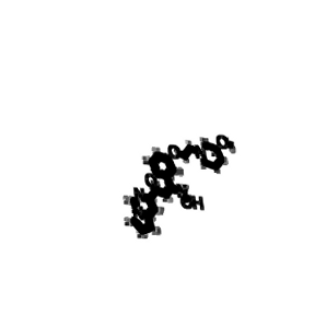 COC1CCCN(CCOc2ccc3oc(-c4cc5cccn5cn4)c/c(=N\O)c3c2)C1